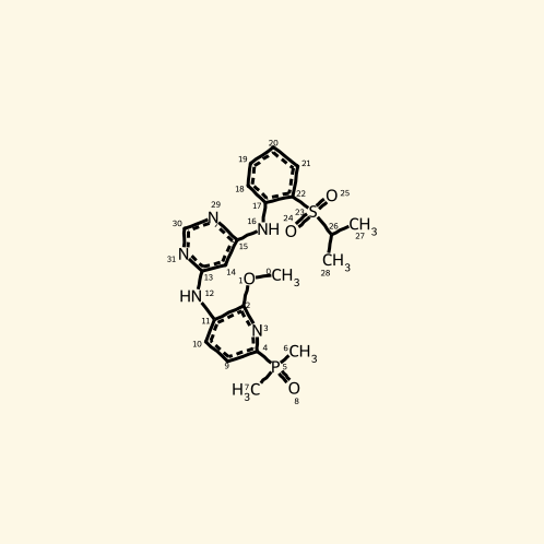 COc1nc(P(C)(C)=O)ccc1Nc1cc(Nc2ccccc2S(=O)(=O)C(C)C)ncn1